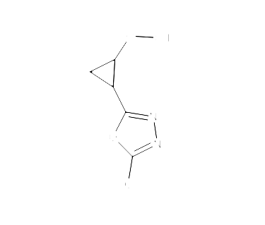 COC1CC1c1nnc(C)o1